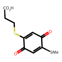 CSC1=CC(=O)C(SCCC(=O)O)=CC1=O